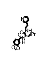 CC(C)C[C@@H](NC(=O)c1ccc2c(c1)OCO2)C(=O)NCCc1cccnc1